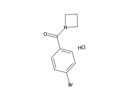 Cl.O=C(c1ccc(Br)cc1)N1CCC1